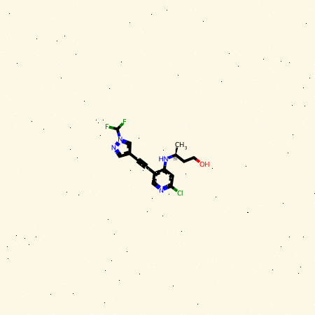 C[C@@H](CCO)Nc1cc(Cl)ncc1C#Cc1cnn(C(F)F)c1